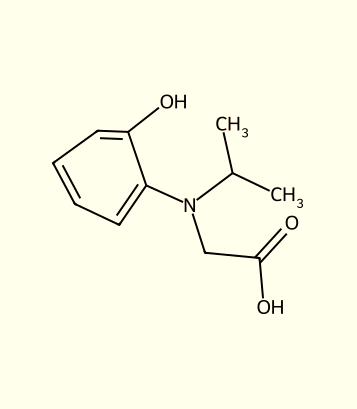 CC(C)N(CC(=O)O)c1ccccc1O